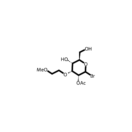 COCCO[C@@H]1[C@H](O)[C@@H](CO)OC(Br)[C@@H]1OC(C)=O